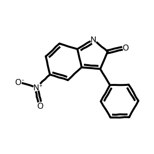 O=C1N=c2ccc([N+](=O)[O-])cc2=C1c1ccccc1